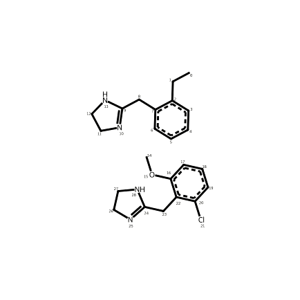 CCc1ccccc1CC1=NCCN1.COc1cccc(Cl)c1CC1=NCCN1